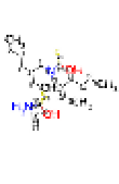 CCCCC(CC)CN(CC(CC)CCCC)C(O)=S.NC(O)=S.[KH]